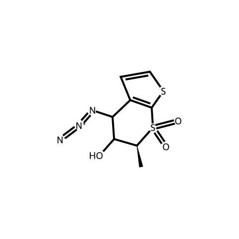 C[C@H]1C(O)C(N=[N+]=[N-])c2ccsc2S1(=O)=O